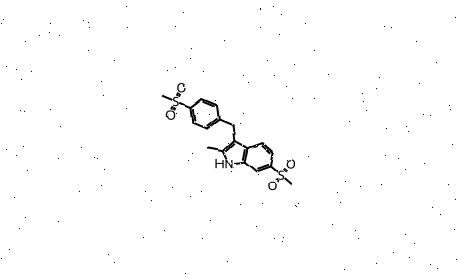 Cc1[nH]c2cc(S(C)(=O)=O)ccc2c1Cc1ccc(S(C)(=O)=O)cc1